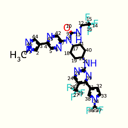 Cn1cc(-c2cnc(N(C(=O)NCC(F)(F)F)[C@H]3CC[C@H](Nc4ncc(C(F)(F)F)c(-c5ccn(C(F)F)c5)n4)CC3)cn2)cn1